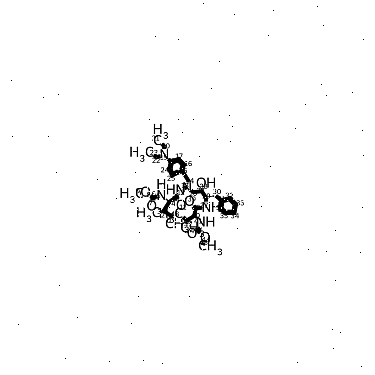 CC[C@H](C)[C@H](NC(=O)OC)C(=O)NN(Cc1ccc(N(CC)CC)cc1)C[C@H](O)[C@H](Cc1ccccc1)NC(=O)[C@@H](NC(=O)OC)C(C)C